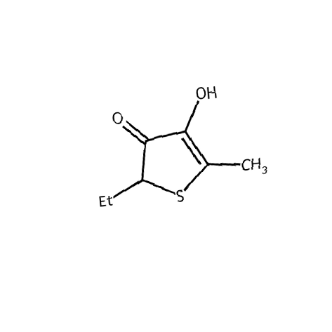 CCC1SC(C)=C(O)C1=O